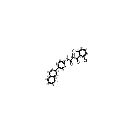 O=C(NC(=O)c1c(Cl)cccc1Cl)Nc1cnc(-c2ccc3ccccc3c2)cn1